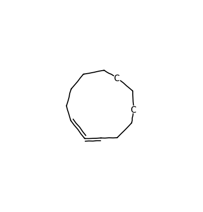 C1=CCCCCCCCCCC=1